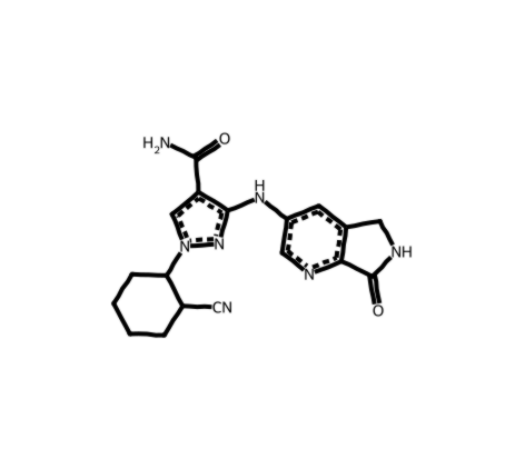 N#CC1CCCCC1n1cc(C(N)=O)c(Nc2cnc3c(c2)CNC3=O)n1